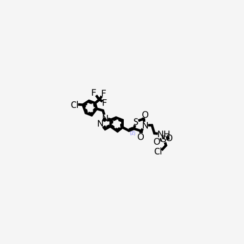 O=C1S/C(=C\c2ccc3c(cnn3Cc3ccc(Cl)cc3C(F)(F)F)c2)C(=O)N1CCNS(=O)(=O)CCl